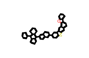 c1ccc(-c2c3ccccc3c(-c3ccc4cc(-c5ccc6sc7cc8ccc9c%10ccccc%10oc9c8cc7c6c5)ccc4c3)c3ccccc23)cc1